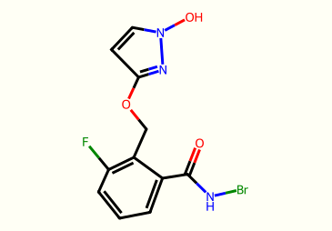 O=C(NBr)c1cccc(F)c1COc1ccn(O)n1